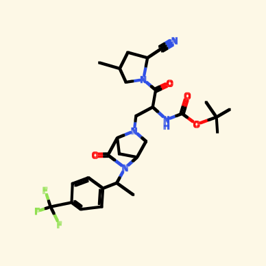 CC1CC(C#N)N(C(=O)C(CN2CC3CC2C(=O)N3C(C)c2ccc(C(F)(F)F)cc2)NC(=O)OC(C)(C)C)C1